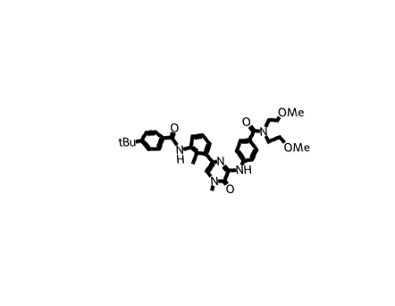 COCCN(CCOC)C(=O)c1ccc(Nc2nc(-c3cccc(NC(=O)c4ccc(C(C)(C)C)cc4)c3C)cn(C)c2=O)cc1